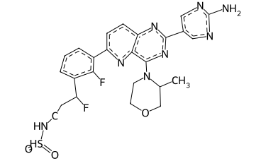 CC1COCCN1c1nc(-c2cnc(N)nc2)nc2ccc(-c3cccc(C(F)CCN[SH](=O)=O)c3F)nc12